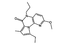 CCCn1c(=O)c2c(C)cc(CC)n2c2nc(OC)ccc21